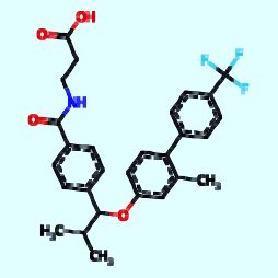 Cc1cc(OC(c2ccc(C(=O)NCCC(=O)O)cc2)C(C)C)ccc1-c1ccc(C(F)(F)F)cc1